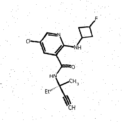 C#C[C@@](C)(CC)NC(=O)c1cc(Cl)cnc1NC1CC(F)C1